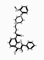 COc1ccccc1N1CCN(CCCC(=S)c2cccc3c(=O)c(C)c(-c4ccccc4)oc23)CC1